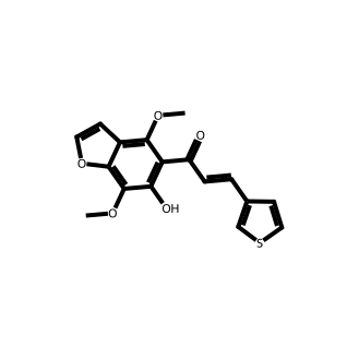 COc1c(C(=O)/C=C/c2ccsc2)c(O)c(OC)c2occc12